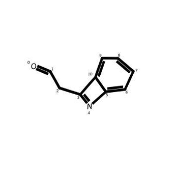 O=CCC1=Nc2ccccc21